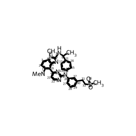 CNc1ccc2c(nc(NC(C)c3ccccc3)n2C)c1-c1ccnc(Nc2cccc(CCS(C)(=O)=O)c2)n1